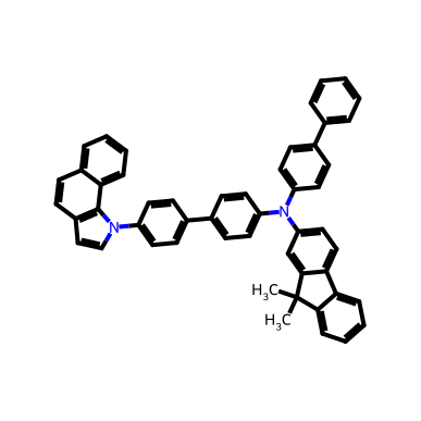 CC1(C)c2ccccc2-c2ccc(N(c3ccc(-c4ccccc4)cc3)c3ccc(-c4ccc(-n5ccc6ccc7ccccc7c65)cc4)cc3)cc21